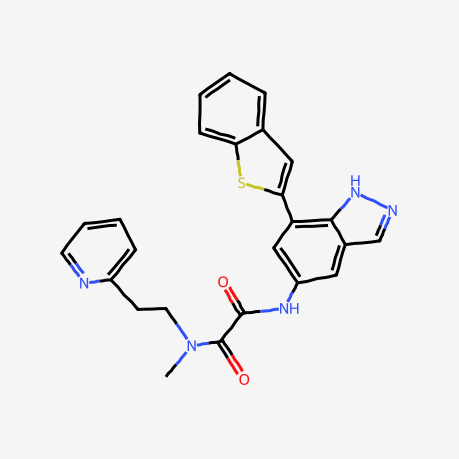 CN(CCc1ccccn1)C(=O)C(=O)Nc1cc(-c2cc3ccccc3s2)c2[nH]ncc2c1